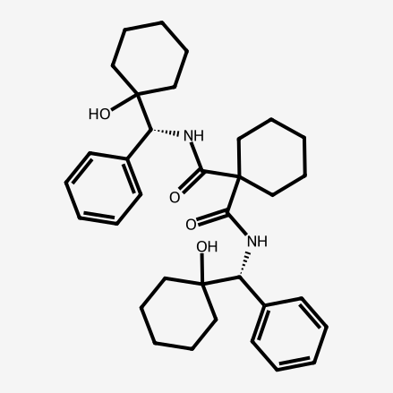 O=C(N[C@H](c1ccccc1)C1(O)CCCCC1)C1(C(=O)N[C@H](c2ccccc2)C2(O)CCCCC2)CCCCC1